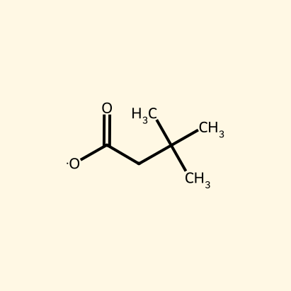 CC(C)(C)CC([O])=O